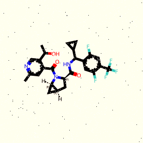 Cc1cc(C(=O)N2[C@@H](C(=O)NC(c3cc(F)c(C(F)(F)F)cc3F)C3CC3)C[C@H]3C[C@H]32)c(C(C)O)cn1